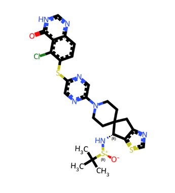 CC(C)(C)[S@+]([O-])N[C@H]1c2scnc2CC12CCN(c1cnc(Sc3ccc4nc[nH]c(=O)c4c3Cl)cn1)CC2